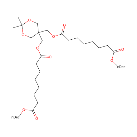 CCCCCCCCCCOC(=O)CCCCCCC(=O)OCC1(COC(=O)CCCCCCC(=O)OCCCCCCCCCC)COC(C)(C)OC1